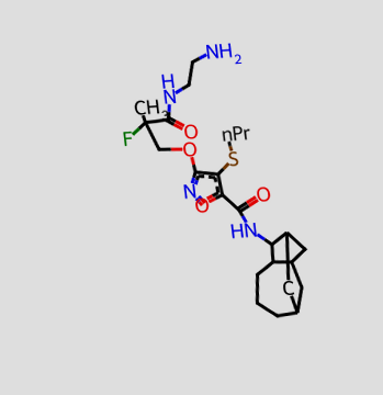 CCCSc1c(OCC(C)(F)C(=O)NCCN)noc1C(=O)NC1C2CC3CCCC1C(C3)C2